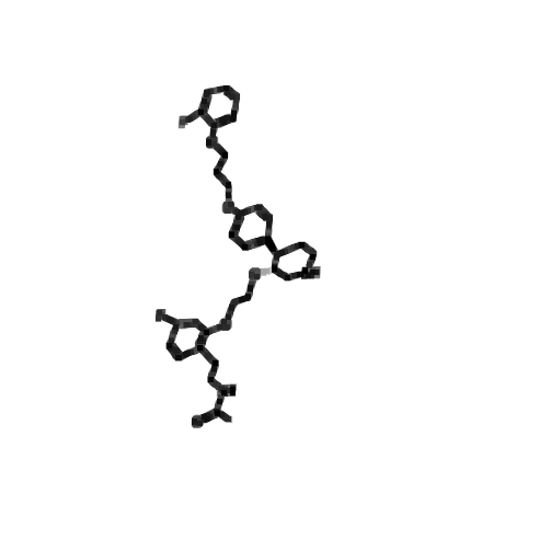 CC(=O)NCCc1ccc(F)cc1OCCO[C@H]1CNCC[C@@H]1c1ccc(OCCCOc2ccccc2F)cc1